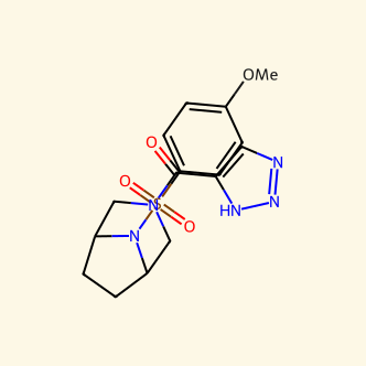 COc1ccc(S(=O)(=O)N2C3CCC2CN(C(=O)c2cnn[nH]2)C3)cc1